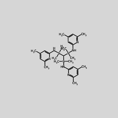 Cc1cc(C)nc(N[Si](C)(C)C([Si](C)(C)Nc2cc(C)cc(C)n2)[Si](C)(C)Nc2cc(C)cc(C)n2)c1